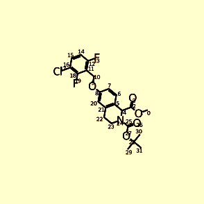 COC(=O)C1c2ccc(OCc3c(F)ccc(Cl)c3F)cc2CCN1C(=O)OC(C)(C)C